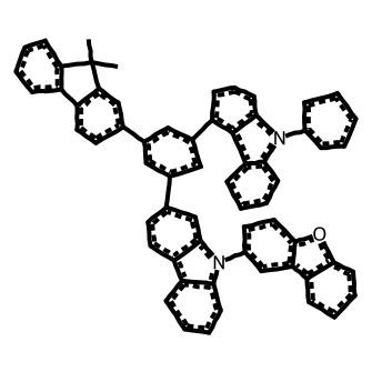 CC1(C)c2ccccc2-c2ccc(-c3cc(-c4ccc5c6ccccc6n(-c6ccc7oc8ccccc8c7c6)c5c4)cc(-c4cccc5c4c4ccccc4n5-c4ccccc4)c3)cc21